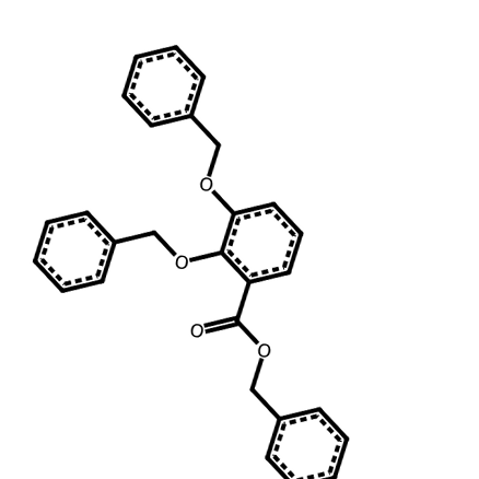 O=C(OCc1ccccc1)c1cccc(OCc2ccccc2)c1OCc1ccccc1